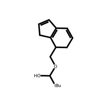 CC(C)(C)C(O)OCC1CC=CC2=C1CC=C2